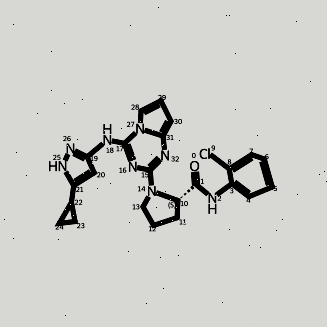 O=C(Nc1ccccc1Cl)[C@@H]1CCCN1c1nc(Nc2cc(C3CC3)[nH]n2)n2cccc2n1